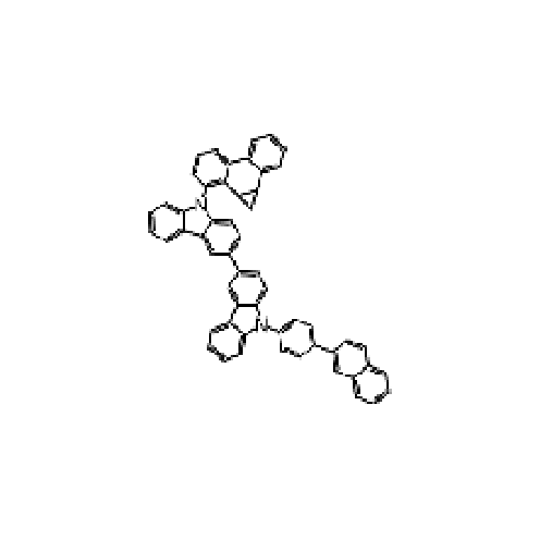 c1ccc2c(c1)-c1cccc(-n3c4ccccc4c4cc(-c5ccc6c(c5)c5ccccc5n6-c5ccc(-c6ccc7ccccc7c6)cc5)ccc43)c1C1CC21